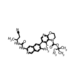 Cc1c(-c2cc3cc(NC(=O)NC(C)CC#N)ncc3cc2F)cnc2c1N(C(=O)OC(C)(C)C)CCO2